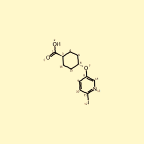 O=C(O)[C@H]1CC[C@H](Oc2ccc(I)nc2)CC1